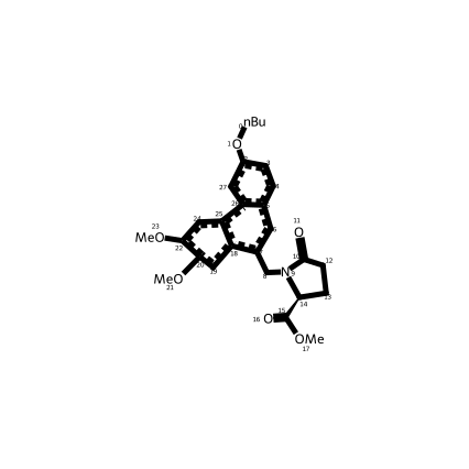 CCCCOc1ccc2cc(CN3C(=O)CC[C@H]3C(=O)OC)c3cc(OC)c(OC)cc3c2c1